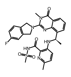 Cc1ccc(N[C@H](C)c2cccc3c(=O)n(C)c(N4Cc5ccc(F)cc5C4)nc23)c(C(=O)NS(C)(=O)=O)n1